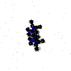 c1ccc(-c2ccc3c(c2)c2cc(-c4ccccc4)cc4c2n3-c2cc(N(c3ccccc3)c3ccccc3)cc3c2B4c2cccc4c2N3c2cccc3c2B4c2cccc4c2N3c2cc(N(c3ccccc3)c3ccccc3)cc3c2B4c2cc(-c4ccccc4)cc4c5cc(-c6ccccc6)ccc5n-3c24)cc1